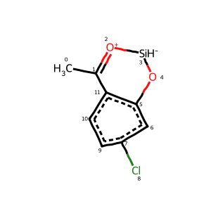 CC1=[O+][SiH-]Oc2cc(Cl)ccc21